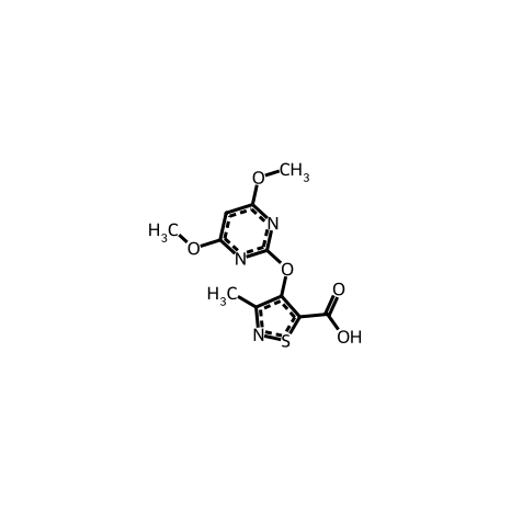 COc1cc(OC)nc(Oc2c(C)nsc2C(=O)O)n1